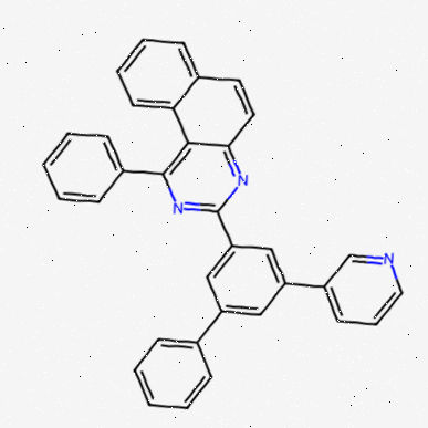 c1ccc(-c2cc(-c3cccnc3)cc(-c3nc(-c4ccccc4)c4c(ccc5ccccc54)n3)c2)cc1